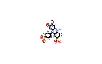 O=C1C=C(NC2=CCC(=S(=O)=O)C=C2)C(NC2=CCC(=S(=O)=O)C=C2)=NC1=O